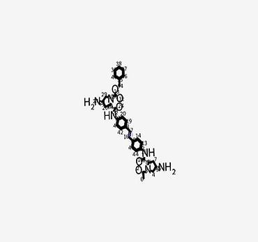 CC(=O)N1C[C@@H](N)C[C@H]1C(=O)Nc1ccc(/C=C/c2ccc(NC(=O)[C@@H]3C[C@H](N)CN3C(=O)OCc3ccccc3)cc2)cc1